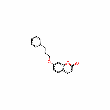 O=c1ccc2ccc(OC/C=C/c3ccccc3)cc2o1